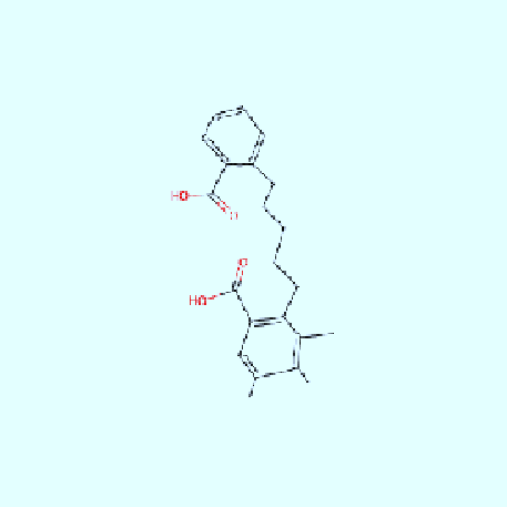 Cc1cc(C(=O)O)c(CCCCCc2ccccc2C(=O)O)c(C)c1C